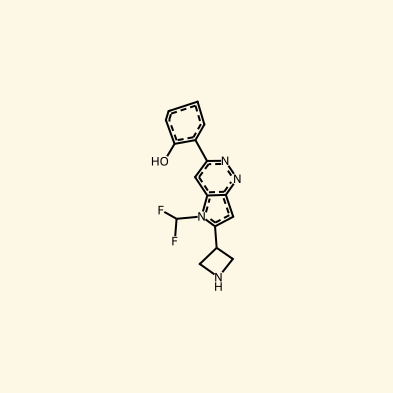 Oc1ccccc1-c1cc2c(cc(C3CNC3)n2C(F)F)nn1